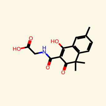 Cc1ccc2c(c1)C(O)=C(C(=O)NCC(=O)O)C(=O)C2(C)C